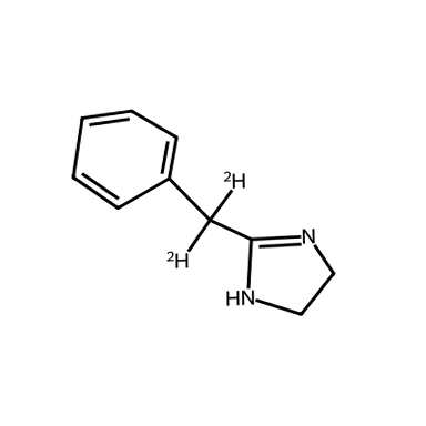 [2H]C([2H])(C1=NCCN1)c1ccccc1